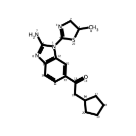 CC1CN=C(n2c(N)nc3ccc(C(=O)CC4CCCC4)cc32)S1